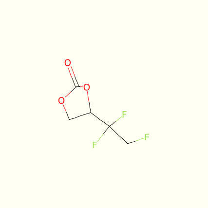 O=C1OCC(C(F)(F)CF)O1